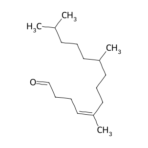 CC(=CCCC=O)CCCC(C)CCCC(C)C